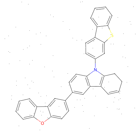 C1=Cc2c(n(-c3ccc4c(c3)sc3ccccc34)c3ccc(-c4ccc5oc6ccccc6c5c4)cc23)CC1